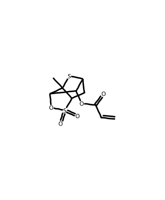 C=CC(=O)OC1C2CC3C(C)(S2)C1OS3(=O)=O